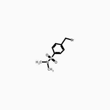 CN(C)S(=O)(=O)c1ccc(CBr)cc1